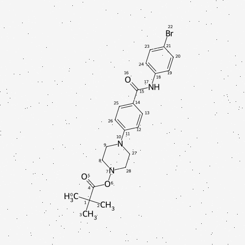 CC(C)(C)C(=O)ON1CCN(c2ccc(C(=O)Nc3ccc(Br)cc3)cc2)CC1